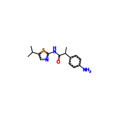 CC(C)c1cnc(NC(=O)C(C)c2ccc(N)cc2)s1